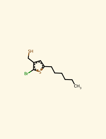 CCCCCCc1cc(CS)c(Br)s1